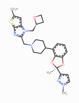 Cn1ccc([C@]2(C)Oc3cccc(C4CCN(Cc5nc6sc(C(=O)O)cc6n5C[C@@H]5CCO5)CC4)c3O2)n1